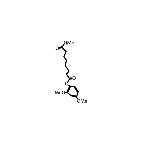 CNC(=O)CCCCCCC(=O)Oc1ccc(OC)cc1OC